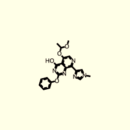 COC(C)Oc1cnc(-c2cn(C)cn2)c2nc(Oc3ccccc3)nc(O)c12